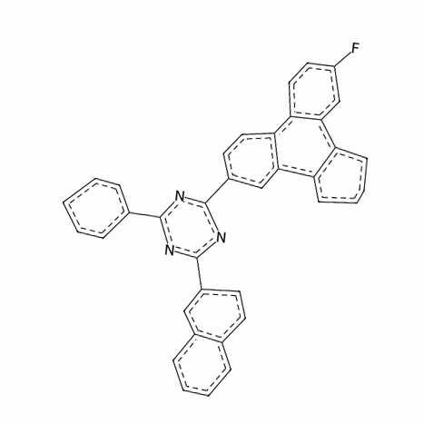 Fc1ccc2c3ccc(-c4nc(-c5ccccc5)nc(-c5ccc6ccccc6c5)n4)cc3c3ccccc3c2c1